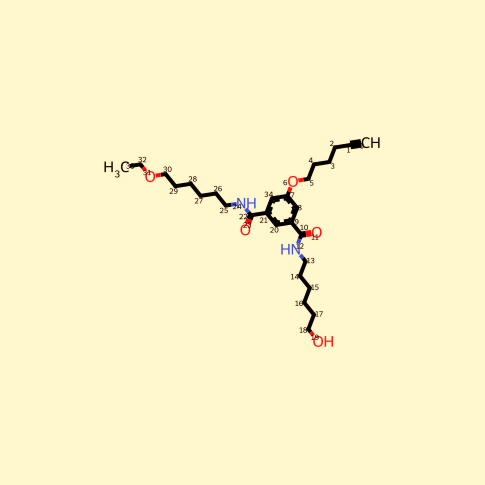 C#CCCCCOc1cc(C(=O)NCCCCCCO)cc(C(=O)NCCCCCCOCC)c1